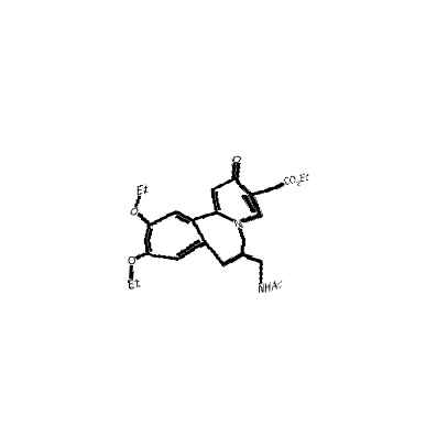 CCOC(=O)c1cn2c(cc1=O)-c1cc(OCC)c(OCC)cc1CC2CNC(C)=O